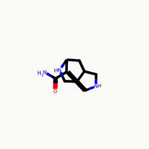 NC(=O)C1=C2NCC3CC1NCC23